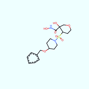 O=C(NO)C1(O)COCCC1S(=O)(=O)N1CCC(OCc2ccccc2)CC1